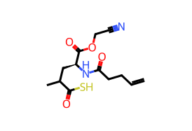 C=CCCC(=O)N[C@@H](CC(C)C(=O)S)C(=O)OCC#N